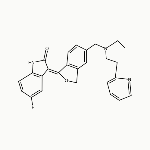 CCN(CCc1ccccn1)Cc1ccc2c(c1)COC2=C1C(=O)Nc2ccc(F)cc21